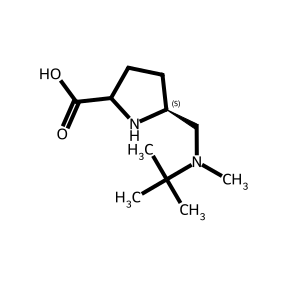 CN(C[C@@H]1CCC(C(=O)O)N1)C(C)(C)C